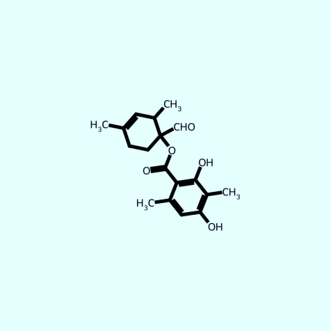 CC1=CC(C)C(C=O)(OC(=O)c2c(C)cc(O)c(C)c2O)CC1